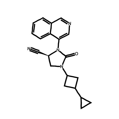 N#C[C@@H]1CN(C2CC(C3CC3)C2)C(=O)N1c1cncc2ccccc12